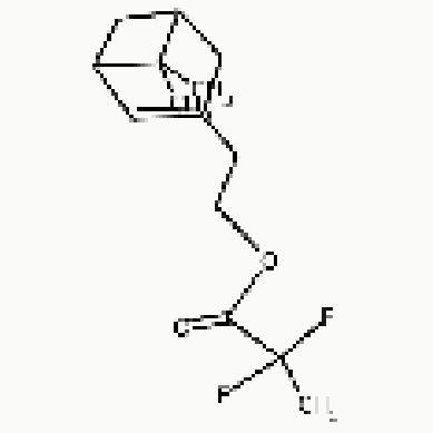 CC(F)(F)C(=O)OCCC1=CC2CC(C1)C2(C)C